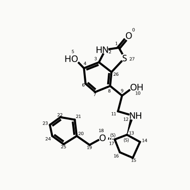 O=c1[nH]c2c(O)ccc(C(O)CN[C@H]3CCC[C@@H]3OCc3ccccc3)c2s1